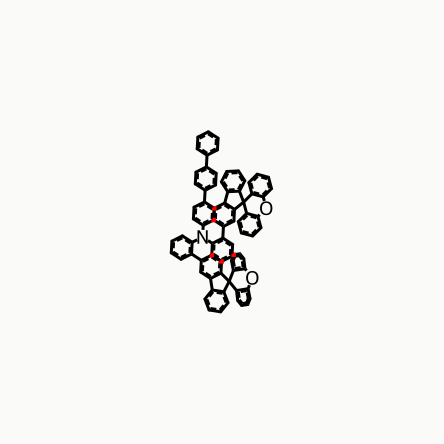 c1ccc(-c2ccc(-c3ccc(N(c4ccccc4-c4ccc5c(c4)-c4ccccc4C54c5ccccc5Oc5ccccc54)c4ccccc4-c4ccc5c(c4)C4(c6ccccc6Oc6ccccc64)c4ccccc4-5)cc3)cc2)cc1